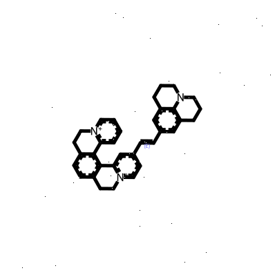 C(=C\c1cc[n+]2c(c1)-c1c(ccc3c1-c1cccc[n+]1CC3)CC2)/c1cc2c3c(c1)CCCN3CCC2